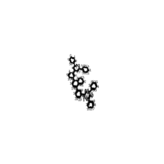 c1ccc(-c2cc(-c3cccc(-c4ccc(-c5cccc(-c6nc(-c7ccccc7)nc(-c7ccccc7)n6)c5)c5ccccc45)c3)cc(-c3ccccc3)n2)cc1